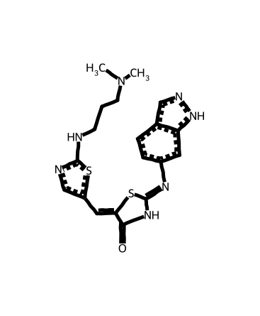 CN(C)CCCNc1ncc(C=C2SC(=Nc3ccc4cn[nH]c4c3)NC2=O)s1